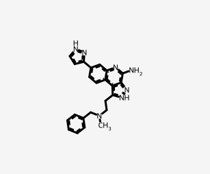 CN(CCc1[nH]nc2c(N)nc3cc(-c4cc[nH]n4)ccc3c12)Cc1ccccc1